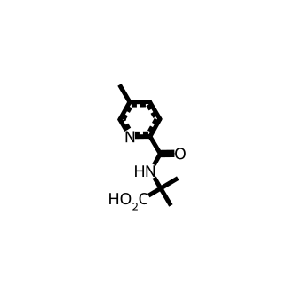 Cc1ccc(C(=O)NC(C)(C)C(=O)O)nc1